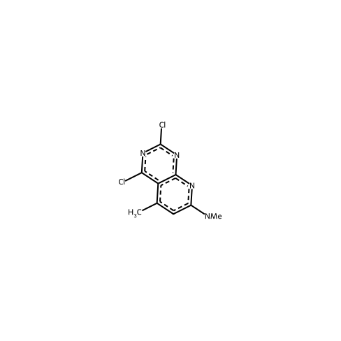 CNc1cc(C)c2c(Cl)nc(Cl)nc2n1